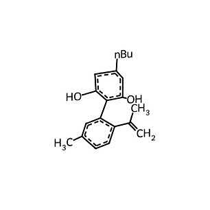 C=C(C)c1ccc(C)cc1-c1c(O)cc(CCCC)cc1O